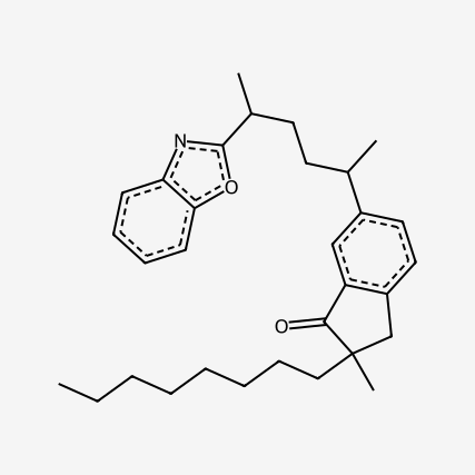 CCCCCCCCC1(C)Cc2ccc(C(C)CCC(C)c3nc4ccccc4o3)cc2C1=O